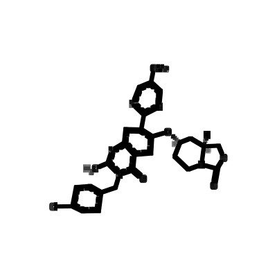 COc1cnc(-c2cc3nc(C)n(Cc4ccc(Cl)cc4)c(=O)c3cc2O[C@H]2CCN3C(=O)OC[C@@H]3C2)nc1